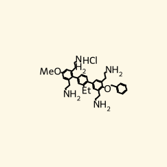 CCc1cc(-c2c(CCN)cc(OC)cc2CCN)ccc1-c1cc(CCN)c(OCc2ccccc2)c(CCN)c1.Cl